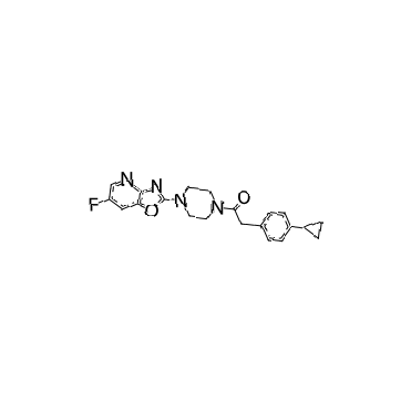 O=C(Cc1ccc(C2CC2)cc1)N1CCN(c2nc3ncc(F)cc3o2)CC1